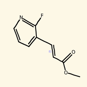 COC(=O)/C=C/c1cccnc1F